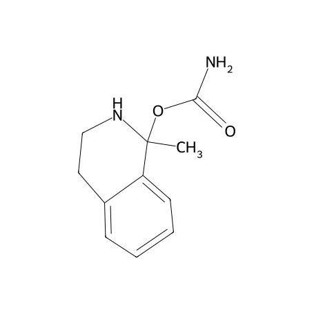 CC1(OC(N)=O)NCCc2ccccc21